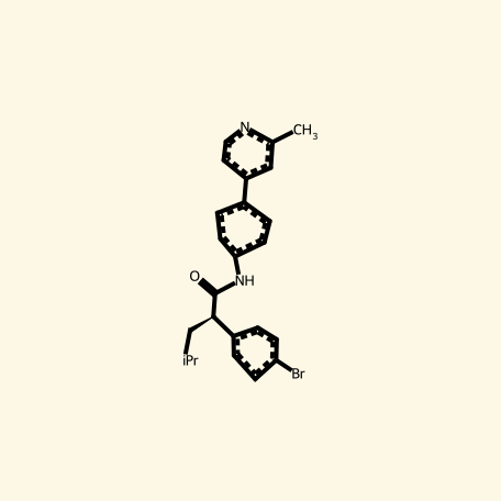 Cc1cc(-c2ccc(NC(=O)[C@H](CC(C)C)c3ccc(Br)cc3)cc2)ccn1